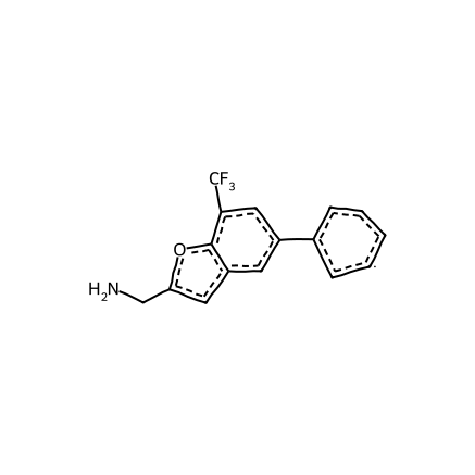 NCc1cc2cc(-c3c[c]ccc3)cc(C(F)(F)F)c2o1